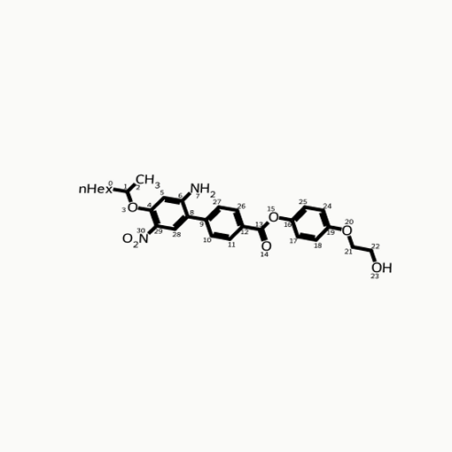 CCCCCCC(C)Oc1cc(N)c(-c2ccc(C(=O)Oc3ccc(OCCO)cc3)cc2)cc1[N+](=O)[O-]